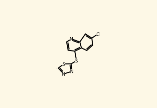 Clc1ccc2c(Sc3nn[c]s3)ccnc2c1